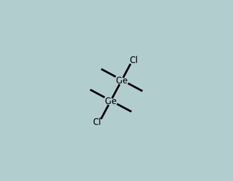 [CH3][Ge]([CH3])([Cl])[Ge]([CH3])([CH3])[Cl]